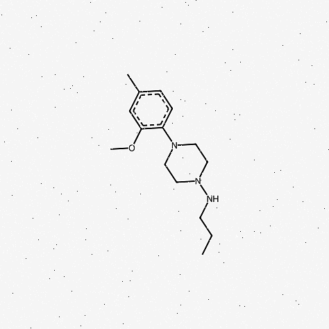 CCCNN1CCN(c2ccc(C)cc2OC)CC1